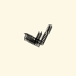 O.O.O.O.O.O.O.O.O.O.O.O.O.O.O.[Ti].[Ti].[Ti].[Ti].[Ti].[Ti].[Ti].[Ti].[Ti].[Ti]